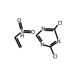 C=C[SH](=O)=O.Clc1ncnc(Cl)n1